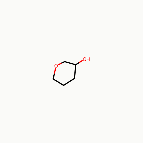 OC1[CH]CCOC1